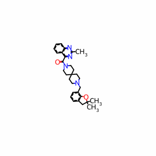 Cc1nc(C(=O)N2CCC3(CCN(Cc4cccc5c4OC(C)(C)C5)CC3)CC2)c2ccccc2n1